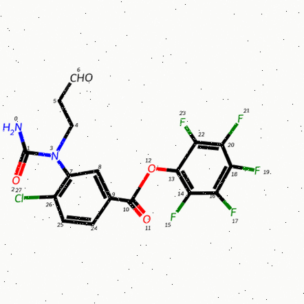 NC(=O)N(CCC=O)c1cc(C(=O)Oc2c(F)c(F)c(F)c(F)c2F)ccc1Cl